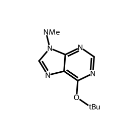 CNn1cnc2c(OC(C)(C)C)ncnc21